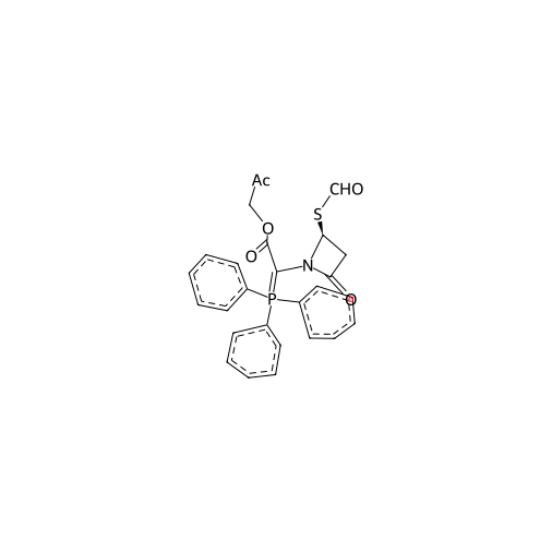 CC(=O)COC(=O)C(N1C(=O)C[C@@H]1SC=O)=P(c1ccccc1)(c1ccccc1)c1ccccc1